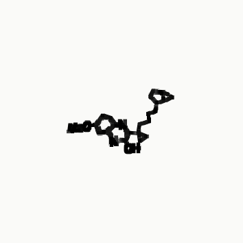 COc1ccc2nc(C3(CCCC[C@H]4CC=C5CC54)CC3)c(O)nc2c1